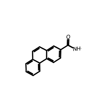 [NH]C(=O)c1ccc2c(ccc3ccccc32)c1